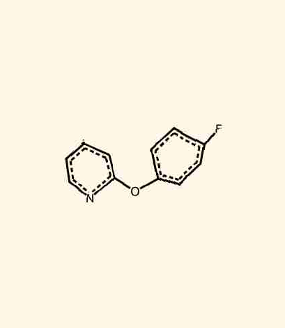 Fc1ccc(Oc2c[c]ccn2)cc1